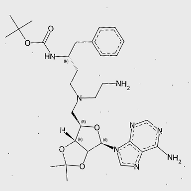 CC(C)(C)OC(=O)N[C@@H](CCN(CCN)C[C@H]1O[C@@H](n2cnc3c(N)ncnc32)C2OC(C)(C)O[C@@H]21)Cc1ccccc1